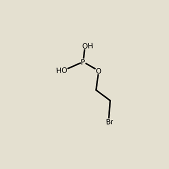 OP(O)OCCBr